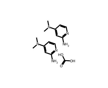 CN(C)c1ccnc(N)c1.CN(C)c1ccnc(N)c1.O=C(O)O